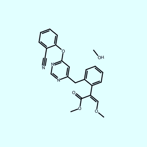 CO.COC=C(C(=O)OC)c1ccccc1Cc1cc(Oc2ccccc2C#N)ncn1